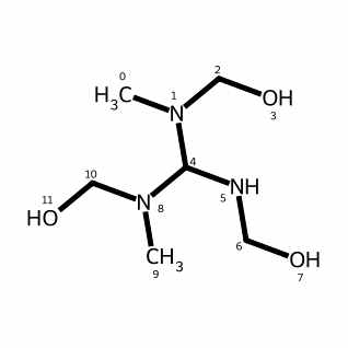 CN(CO)C(NCO)N(C)CO